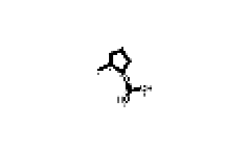 CC1CCCC1.O=C(O)O